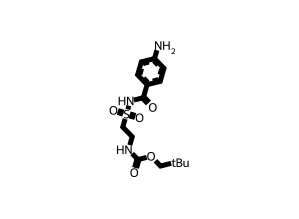 CC(C)(C)COC(=O)NCCS(=O)(=O)NC(=O)c1ccc(N)cc1